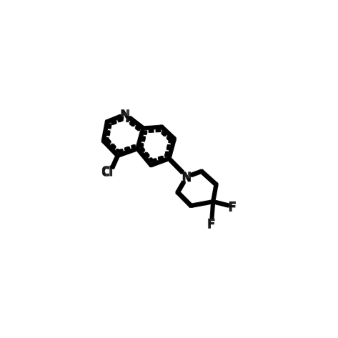 FC1(F)CCN(c2ccc3nccc(Cl)c3c2)CC1